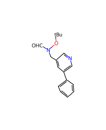 CC(C)(C)ON(C=O)Cc1cncc(-c2ccccc2)c1